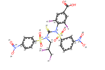 O=C(O)c1cc(I)c(N(C(=S)N(CC(I)CI)S(=O)(=O)c2ccc([N+](=O)[O-])cc2)S(=O)(=O)c2cccc([N+](=O)[O-])c2)c(I)c1